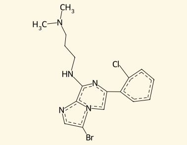 CN(C)CCCNc1nc(-c2ccccc2Cl)cn2c(Br)cnc12